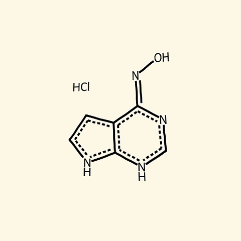 Cl.ON=c1nc[nH]c2[nH]ccc12